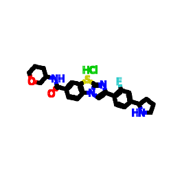 Cl.O=C(NC1CCCOC1)c1ccc2c(c1)sc1nc(-c3ccc(C4CCCN4)cc3F)cn12